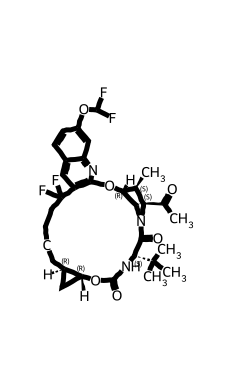 CC(=O)[C@@H]1[C@H](C)[C@@H]2CN1C(=O)[C@H](C(C)(C)C)NC(=O)O[C@@H]1C[C@H]1CCCCC(F)(F)c1cc3ccc(OC(F)F)cc3nc1O2